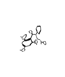 COc1cc(OC)c(C(=O)C(CCP=O)c2ccccc2)c(OC)c1